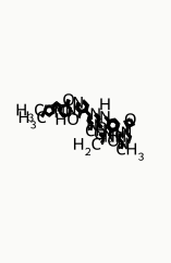 C=CC(=O)Nc1cc(Nc2nc(-c3ccnc(N4CCn5c(cc6c5CC(C)(C)C6)C4=O)c3CO)cn(C)c2=O)ccc1[C@@H]1C(=O)N(C)CCN1C1COC1